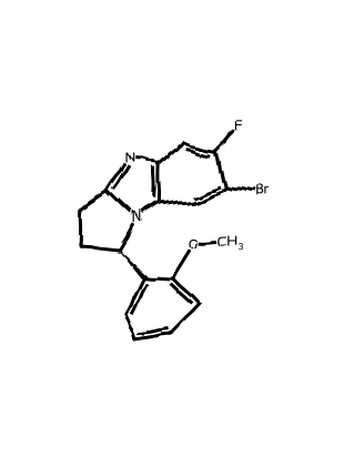 COc1ccccc1[C@H]1CCc2nc3cc(F)c(Br)cc3n21